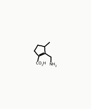 CC1CCC(C(=O)O)=C1CN